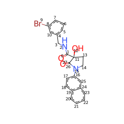 O=C(NCc1cccc(Br)c1)[C@]1(O)CCN(c2ccc3ccccc3c2)C1=O